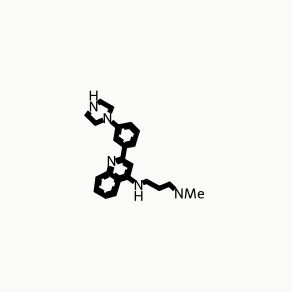 CNCCCNc1cc(-c2cccc(N3CCNCC3)c2)nc2ccccc12